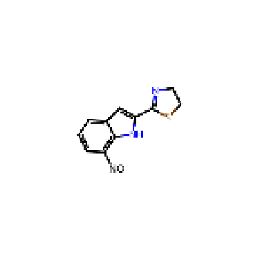 O=Nc1cccc2cc(C3=NCCS3)[nH]c12